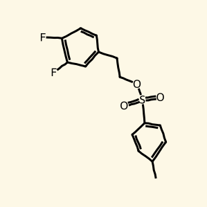 Cc1ccc(S(=O)(=O)OCCc2ccc(F)c(F)c2)cc1